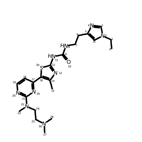 CCn1cnc(CCNC(=O)Nc2nc(C)c(-c3ccnc(N(C)CCN(C)C)n3)s2)c1